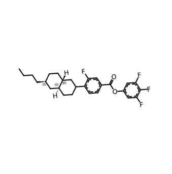 CCCC[C@H]1CC[C@@H]2CC(c3ccc(C(=O)Oc4cc(F)c(F)c(F)c4)cc3F)CC[C@H]2C1